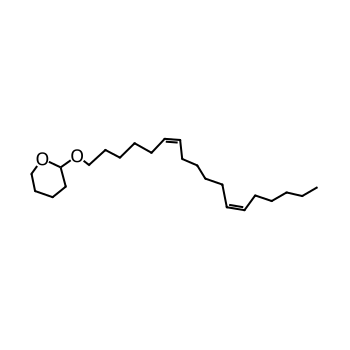 CCCCC/C=C\CCCC/C=C\CCCCCOC1CCCCO1